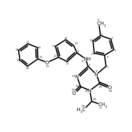 Cc1ccc(Cn2c(Nc3cccc(Oc4ccccc4)c3)nc(=O)n(C(C)C)c2=O)cc1